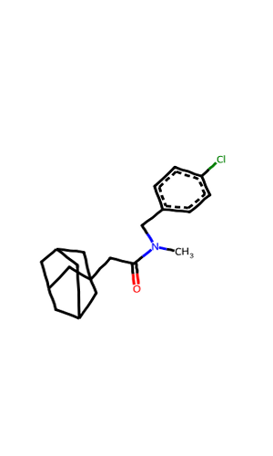 CN(Cc1ccc(Cl)cc1)C(=O)CC12CC3CC(CC(C3)C1)C2